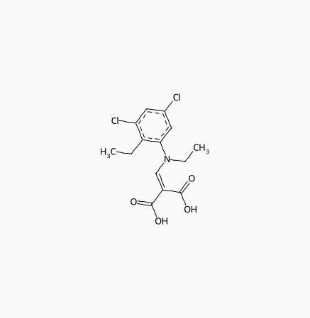 CCc1c(Cl)cc(Cl)cc1N(C=C(C(=O)O)C(=O)O)CC